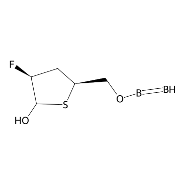 B=BOC[C@@H]1C[C@H](F)C(O)S1